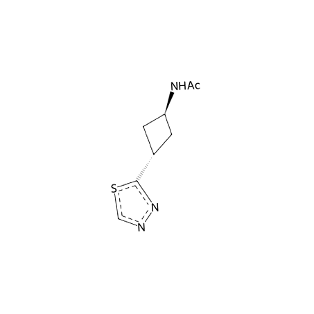 CC(=O)N[C@H]1C[C@H](c2nncs2)C1